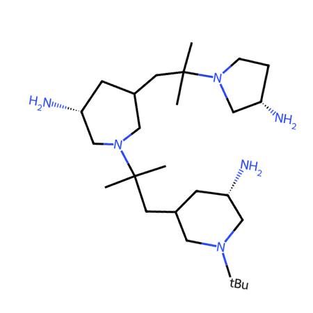 CC(C)(C)N1CC(CC(C)(C)N2CC(CC(C)(C)N3CC[C@H](N)C3)C[C@@H](N)C2)C[C@H](N)C1